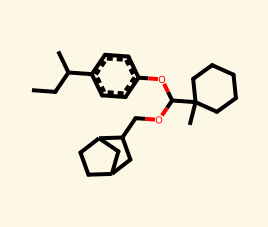 CCC(C)c1ccc(OC(OCC2CC3CCC2C3)C2(C)CCCCC2)cc1